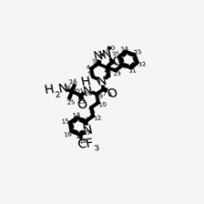 CN1N=C2CCN(C(=O)C(CCCc3cccc(C(F)(F)F)n3)NC(=O)C(C)(C)N)CC2(Cc2ccccc2)C1=O